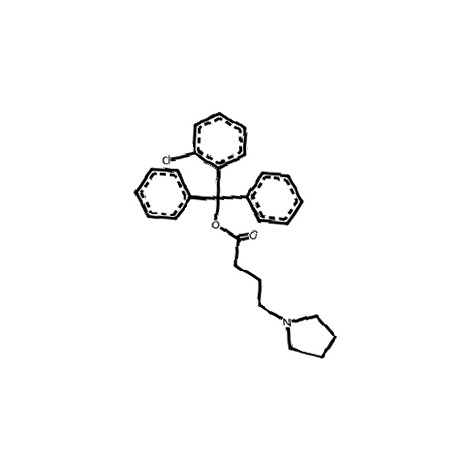 O=C(CCCN1CCCC1)OC(c1ccccc1)(c1ccccc1)c1ccccc1Cl